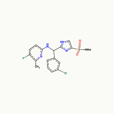 CNS(=O)(=O)c1c[nH]c(C(Nc2ccc(F)c(C)n2)c2cccc(Cl)c2)n1